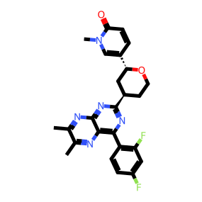 Cc1nc2nc([C@@H]3CCO[C@@H](c4ccc(=O)n(C)c4)C3)nc(-c3ccc(F)cc3F)c2nc1C